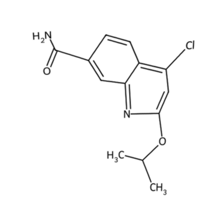 CC(C)Oc1cc(Cl)c2ccc(C(N)=O)cc2n1